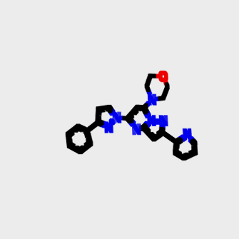 c1ccc(-c2ccn(-c3cc(N4CCOCC4)n4nc(-c5ccccn5)cc4n3)n2)cc1